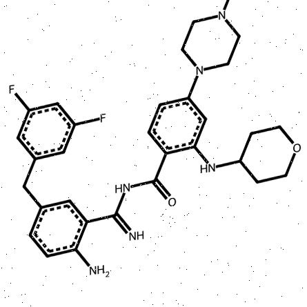 CN1CCN(c2ccc(C(=O)NC(=N)c3cc(Cc4cc(F)cc(F)c4)ccc3N)c(NC3CCOCC3)c2)CC1